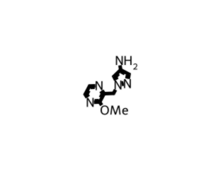 COc1nccnc1Cn1cc(N)cn1